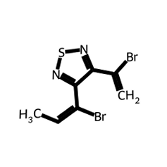 C=C(Br)c1nsnc1/C(Br)=C\C